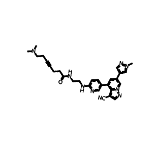 CN(C)CCC#CCCC(=O)NCCNc1ccc(-c2cc(-c3cnn(C)c3)cn3ncc(C#N)c23)cn1